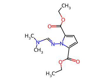 CCOC(=O)c1ccc(C(=O)OCC)n1/N=C/N(C)C